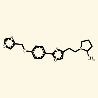 C[C@@H]1CCCN1CCc1coc(-c2ccc(OCc3cscn3)cc2)n1